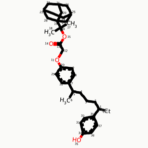 CCC(CCCC(C)c1ccc(OCC(=O)OC(C)(C)C23CC4CC(CC(C4)C2)C3)cc1)c1ccc(O)cc1